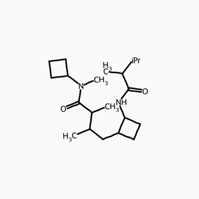 CC(C)C(C)C(=O)NC1CCC1CC(C)C(C)C(=O)N(C)C1CCC1